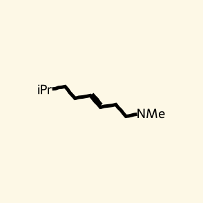 CNCCC=CCCC(C)C